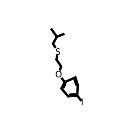 CC(C)CSCCOc1ccc(I)cc1